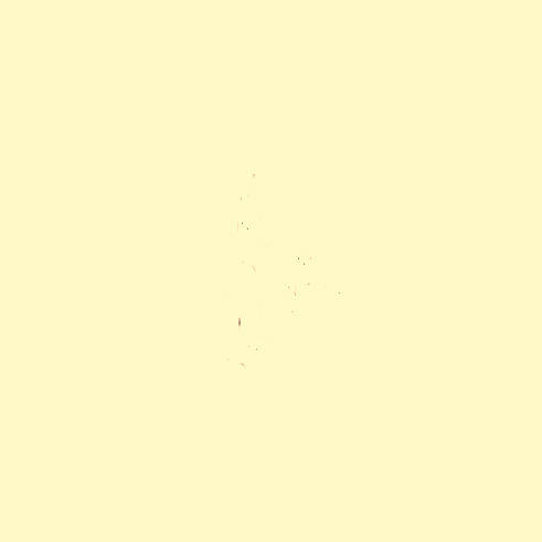 COc1cc(Cn2c(=O)[nH]c3cc(Nc4ccccc4)ccc32)cc(OC)c1